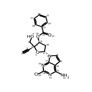 C#C[C@]1(CO)O[C@@H](n2ccc3c(N)nc(Cl)nc32)C[C@@H]1OC(=O)c1ccccc1